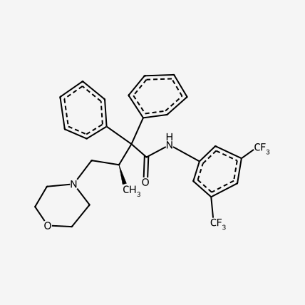 C[C@@H](CN1CCOCC1)C(C(=O)Nc1cc(C(F)(F)F)cc(C(F)(F)F)c1)(c1ccccc1)c1ccccc1